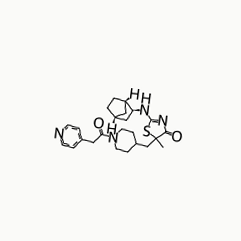 CC1(CC2CCN(C(=O)Cc3ccncc3)CC2)SC(N[C@H]2C[C@@H]3CC[C@H]2C3)=NC1=O